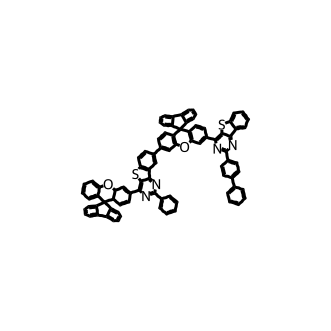 C1=CC2C(C=C1c1nc(-c3ccccc3)nc3c1sc1ccc(-c4ccc5c(c4)Oc4cc(-c6nc(-c7ccc(-c8ccccc8)cc7)nc7c6sc6ccccc67)ccc4C54c5ccccc5-c5ccccc54)cc13)Oc1ccccc1C21c2ccccc2-c2ccccc21